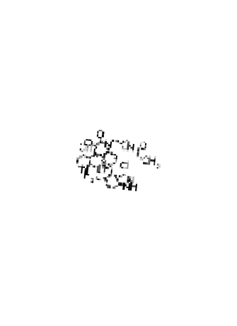 C=CC(=O)N1CC(Cn2c(=O)c(=O)n(-c3c(C)ccnc3C(C)C)c3nc(-c4c(C)ccc5[nH]ncc45)c(Cl)cc32)C1